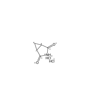 Cl.Cl.O=C1NC(=O)C2CC12